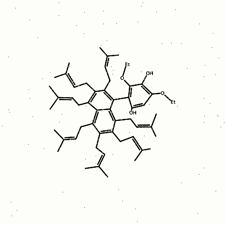 CCOc1cc(O)c(-c2c(CC=C(C)C)c(CC=C(C)C)c(CC=C(C)C)c3c(CC=C(C)C)c(CC=C(C)C)c(CC=C(C)C)c(CC=C(C)C)c23)c(OCC)c1O